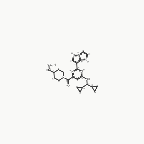 O=C(O)NC1CCN(C(=O)c2cc(NC(C3CC3)C3CC3)nc(-c3cnn4ccsc34)n2)CC1